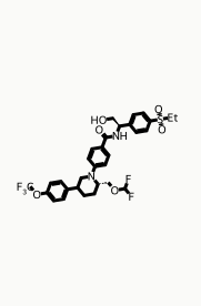 CCS(=O)(=O)c1ccc([C@H](CO)NC(=O)c2ccc(N3CC(c4ccc(OC(F)(F)F)cc4)CC[C@H]3COC(F)F)cc2)cc1